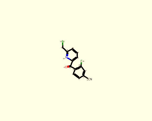 N#Cc1ccc(C(=O)c2cccc(CBr)n2)c(F)c1